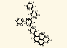 c1ccc(-c2nc(-c3ccc(-c4ccc5ccc6cccc7ccc4c5c67)cc3)cc(-c3cccc(-c4ccccn4)c3)n2)cc1